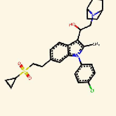 Cc1c(C(O)CN2C3CCC2CC3)c2ccc(CCS(=O)(=O)C3CC3)cc2n1-c1ccc(Cl)cc1